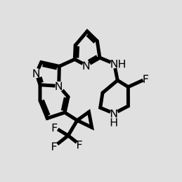 FC1CNCCC1Nc1cccc(-c2cnc3ccc(C4(C(F)(F)F)CC4)cn23)n1